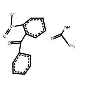 NC(=O)O.O=C(c1ccccc1)c1ccccc1[N+](=O)[O-]